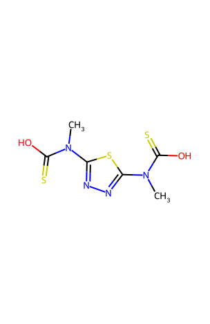 CN(C(O)=S)c1nnc(N(C)C(O)=S)s1